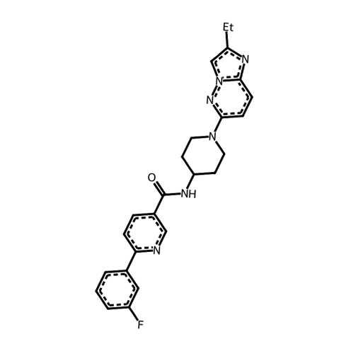 CCc1cn2nc(N3CCC(NC(=O)c4ccc(-c5cccc(F)c5)nc4)CC3)ccc2n1